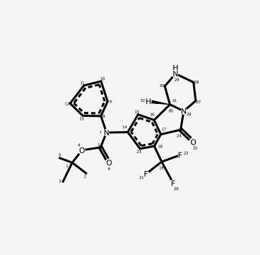 CC(C)(C)OC(=O)N(c1ccccc1)c1cc2c(c(C(F)(F)F)c1)C(=O)N1CCNC[C@@H]21